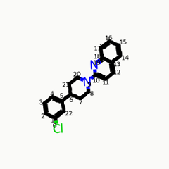 Clc1cccc(C2CCN(c3ccc4ccc[c]c4n3)CC2)c1